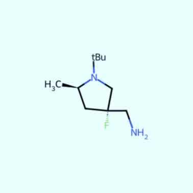 C[C@@H]1C[C@](F)(CN)CN1C(C)(C)C